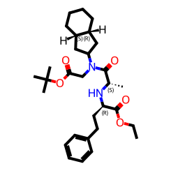 CCOC(=O)[C@@H](CCc1ccccc1)N[C@@H](C)C(=O)N(CC(=O)OC(C)(C)C)C1C[C@H]2CCCC[C@H]2C1